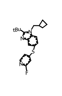 CC(C)(C)c1nc2cc(Sc3ccnc(F)c3)ccc2n1CC1CCC1